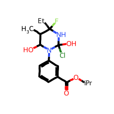 CCC1(F)NC(O)(Cl)N(c2cccc(C(=O)OC(C)C)c2)C(O)C1C